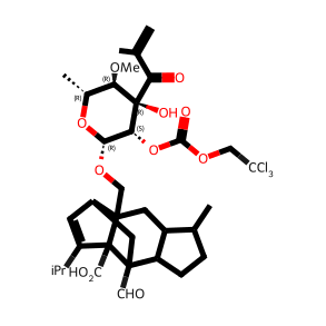 C=C(C)C(=O)[C@]1(O)[C@H](OC(=O)OCC(Cl)(Cl)Cl)[C@H](OCC23CC4C(C)CCC4C4(C=O)CC2C=C(C(C)C)C43C(=O)O)O[C@H](C)[C@H]1OC